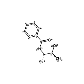 CC[C@H](NC(=O)c1ccccc1)[C@H](C)O